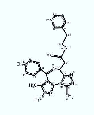 Cc1sc2c(c1C)C(c1ccc(Cl)cc1)=NC(CC(=O)NCCc1cccnc1)c1nnc(C)n1-2